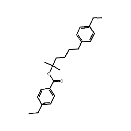 CCc1ccc(CCCCC(C)(C)OC(=O)c2ccc(CC)cc2)cc1